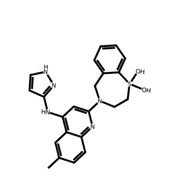 Cc1ccc2nc(N3CCS(O)(O)c4ccccc4C3)cc(Nc3cc[nH]n3)c2c1